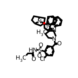 CCC(=O)NS(=O)(=O)c1cc(C(=O)N2CCC(CCN3C4CCC3CC(n3c(C)nc5ccccc53)C4)(c3ccccc3)CC2)ccc1Cl